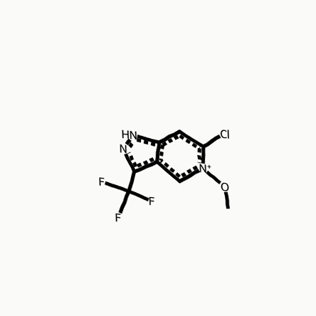 CO[n+]1cc2c(C(F)(F)F)n[nH]c2cc1Cl